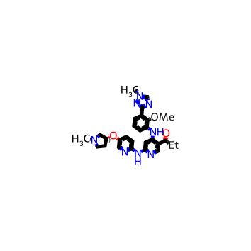 CCC(=O)c1cnc(Nc2ccc(O[C@H]3CCN(C)C3)cn2)cc1Nc1cccc(-c2ncn(C)n2)c1OC